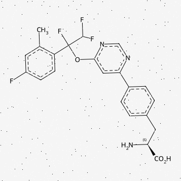 Cc1cc(F)ccc1C(F)(Oc1cc(-c2ccc(C[C@H](N)C(=O)O)cc2)ncn1)C(F)F